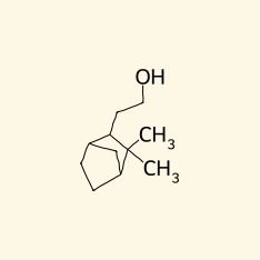 CC1(C)C2CCC(C2)C1CCO